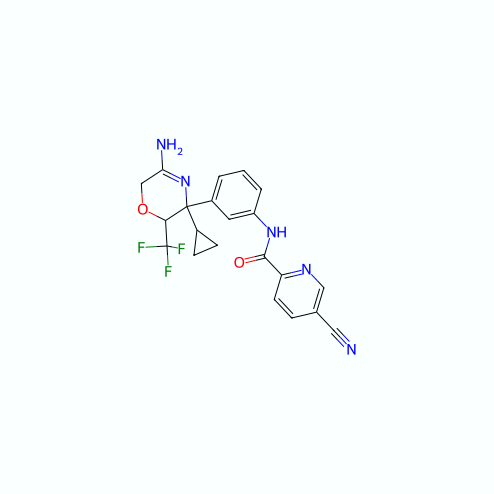 N#Cc1ccc(C(=O)Nc2cccc(C3(C4CC4)N=C(N)COC3C(F)(F)F)c2)nc1